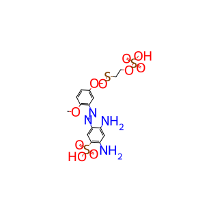 COc1ccc(OOSCCOS(=O)(=O)O)cc1N=Nc1cc(S(=O)(=O)O)c(N)cc1N